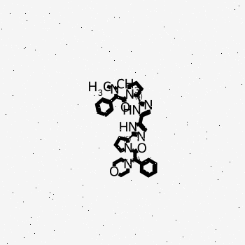 CN(C)C(C(=O)N1CCC[C@H]1c1ncc(-c2cnc([C@@H]3CCCN3C(=O)[C@@H](c3ccccc3)N3CCOCC3)[nH]2)[nH]1)c1ccccc1